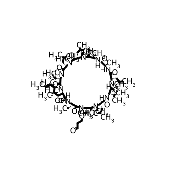 C/C=C/C[C@@H](C)[C@@H](O)[C@H]1C(=O)N[C@@H](CC)C(=O)N(C)[C@H](COCCC=O)C(=O)N(C)[C@@H](CC(C)C)C(=O)N[C@@H](C(C)C)C(=O)N(C)[C@@H](CC(C)C)C(=O)N[C@@H](C)C(=O)N[C@H](C)C(=O)N(C)[C@@H](CC(C)C)C(=O)N(C)[C@@H](CC(C)C)C(=O)N(C)[C@@H](C(C)C)C(=O)N1C